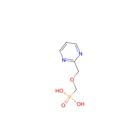 O=P(O)(O)COCc1ncccn1